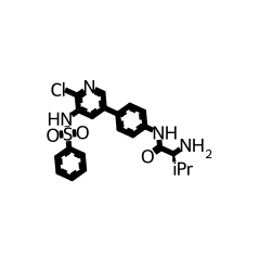 CC(C)[C@H](N)C(=O)Nc1ccc(-c2cnc(Cl)c(NS(=O)(=O)c3ccccc3)c2)cc1